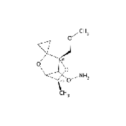 COC[C@]12O[C@@H](C)C(OC13CC3)C2ON